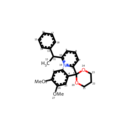 COc1ccc(C2(c3cccc(C(C)c4ccccc4)n3)OCCCO2)cc1OC